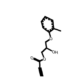 C#CC(=O)OCC(O)COc1ccccc1C